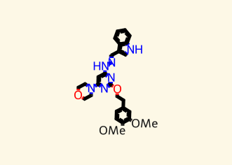 COc1ccc(CCOc2nc(NN=Cc3c[nH]c4ccccc34)cc(N3CCOCC3)n2)cc1OC